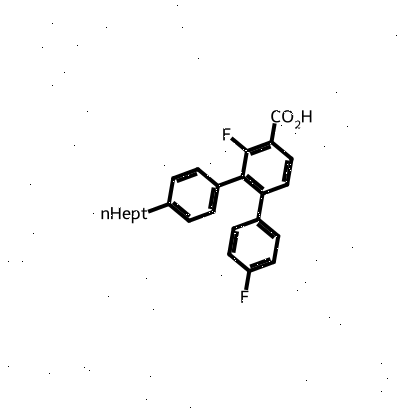 CCCCCCCc1ccc(-c2c(-c3ccc(F)cc3)ccc(C(=O)O)c2F)cc1